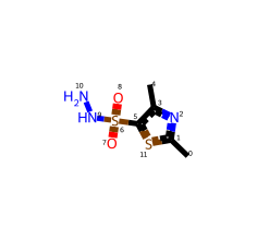 Cc1nc(C)c(S(=O)(=O)NN)s1